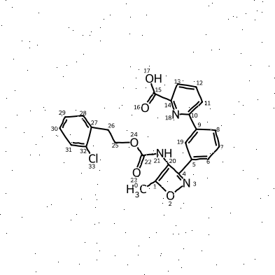 Cc1onc(-c2cccc(-c3cccc(C(=O)O)n3)c2)c1NC(=O)OCCc1ccccc1Cl